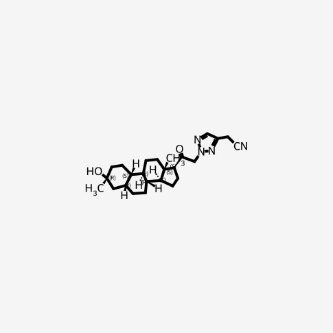 C[C@@]1(O)CC[C@H]2[C@H](CC[C@@H]3[C@@H]2CC[C@]2(C)[C@@H](C(=O)Cn4ncc(CC#N)n4)CC[C@@H]32)C1